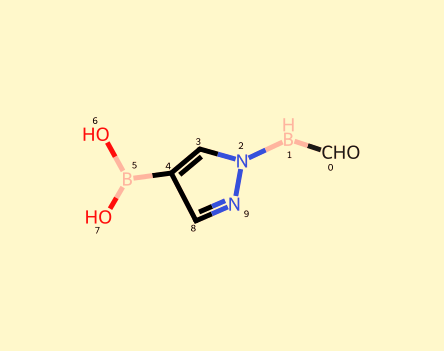 O=CBn1cc(B(O)O)cn1